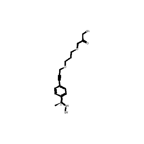 C[C@H](NS)c1ccc(C#CCOCCCOCC(=O)CS)cc1